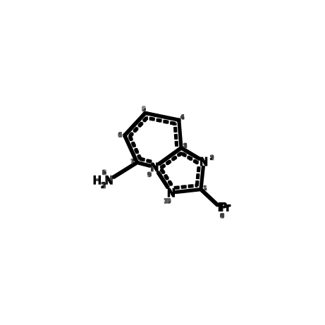 CC(C)c1nc2cccc(N)n2n1